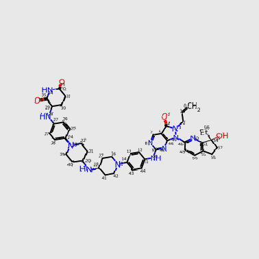 C=CCn1c(=O)c2cnc(Nc3ccc(N4CCC(NC5CCN(c6ccc(NC7CCC(=O)NC7=O)cc6)CC5)CC4)cc3)nc2n1-c1ccc2c(n1)[C@@](O)(CC)CC2